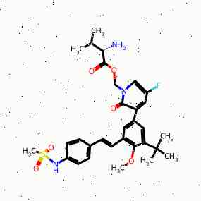 COc1c(C=Cc2ccc(NS(C)(=O)=O)cc2)cc(-c2cc(F)cn(COC(=O)[C@@H](N)C(C)C)c2=O)cc1C(C)(C)C